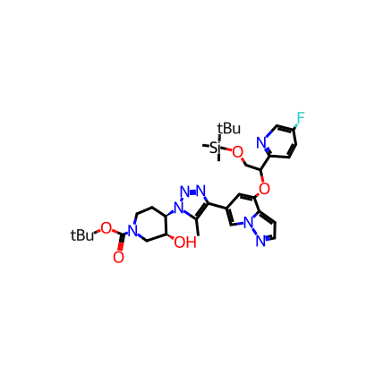 Cc1c(-c2cc(OC(CO[Si](C)(C)C(C)(C)C)c3ccc(F)cn3)c3ccnn3c2)nnn1[C@@H]1CCN(C(=O)OC(C)(C)C)C[C@@H]1O